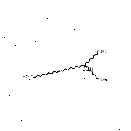 CCCCCCCCCCCCCCCCC(CCCCCCCCCCCCCCCC)(CCCCCCCCSCCCCCCCCCC(=O)O)C(=O)O